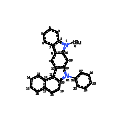 CC(C)(C)n1c2ccccc2c2cc3c4c5ccccc5ccc4n(-c4ccccc4)c3cc21